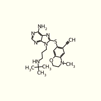 C#Cc1cc2c(cc1Sc1nc3c(N)ncnc3n1CCCNC(C)(C)C)OCCN2C